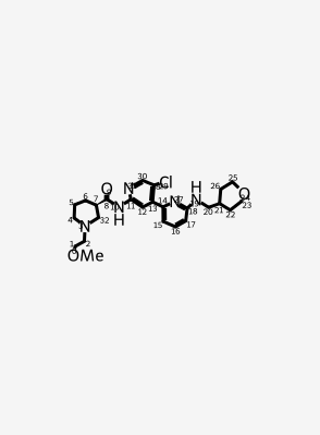 COCCN1CCC[C@@H](C(=O)Nc2cc(-c3cccc(NCC4CCOCC4)n3)c(Cl)cn2)C1